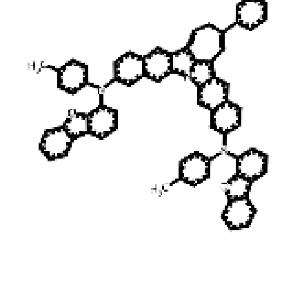 Cc1ccc(N(c2ccc3cc4c5c6c(c7cc8ccc(N(c9ccc(C)cc9)c9cccc%10c9oc9ccccc9%10)cc8cc7n6c4cc3c2)=CCC(c2ccccc2)=C5)c2cccc3c2oc2ccccc23)cc1